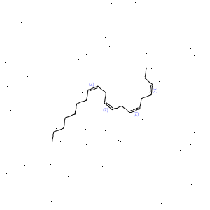 CC/C=C\C/C=C\C/C=C\C/C=C\CCCCCCC